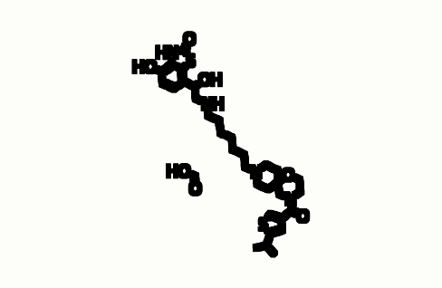 CC(C)c1cc(C(=O)N2CCOC3(CCN(CCCCCCCNCC(O)c4ccc(O)c5[nH]c(=O)sc45)CC3)C2)cs1.O=CO